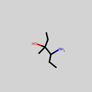 CCC(N)C(C)(O)CC